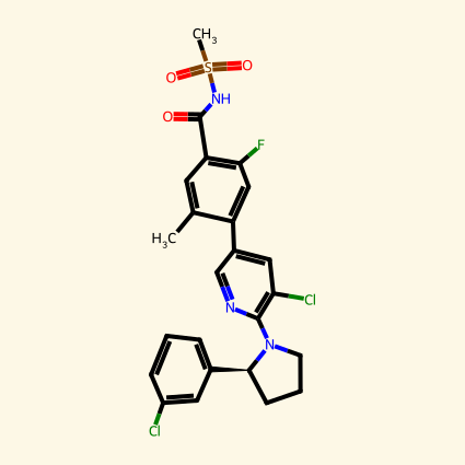 Cc1cc(C(=O)NS(C)(=O)=O)c(F)cc1-c1cnc(N2CCC[C@H]2c2cccc(Cl)c2)c(Cl)c1